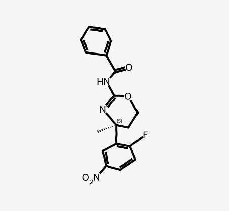 C[C@@]1(c2cc([N+](=O)[O-])ccc2F)CCOC(NC(=O)c2ccccc2)=N1